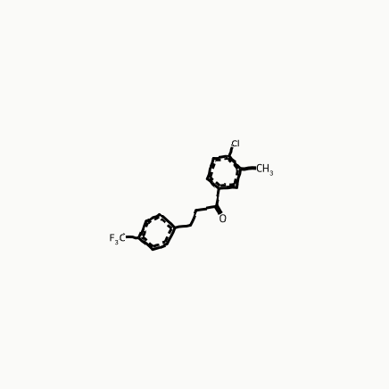 Cc1cc(C(=O)CCc2ccc(C(F)(F)F)cc2)ccc1Cl